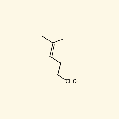 CC(C)=CCC[C]=O